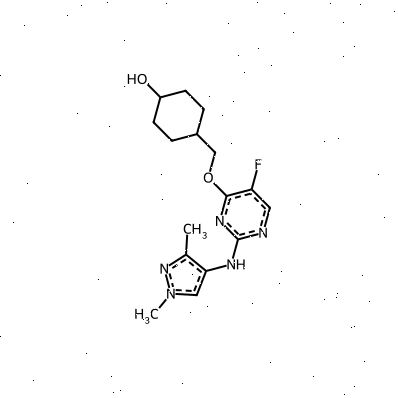 Cc1nn(C)cc1Nc1ncc(F)c(OCC2CCC(O)CC2)n1